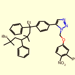 CCC(C)C(C)(C)CC(c1ccccc1)C(C)(C)CC(CC)(c1ccccc1)c1ccc(-c2cnnn2COc2ccc([N+](=O)[O-])c(C(C)C)c2)cc1